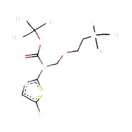 CC(C)(C)OC(=O)N(COCC[Si](C)(C)C)c1ncc(Br)s1